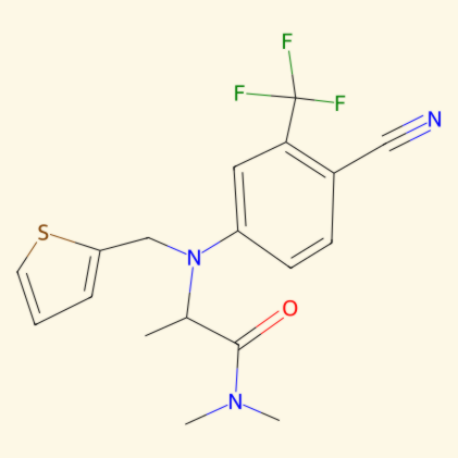 CC(C(=O)N(C)C)N(Cc1cccs1)c1ccc(C#N)c(C(F)(F)F)c1